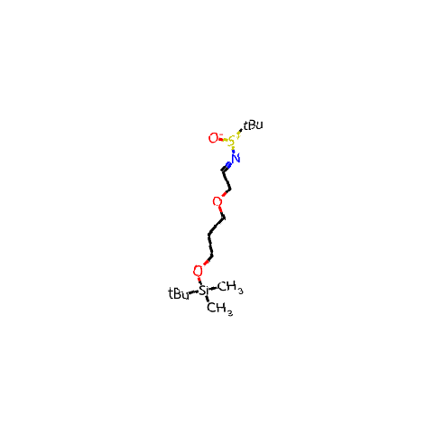 CC(C)(C)[S+]([O-])/N=C/COCCCO[Si](C)(C)C(C)(C)C